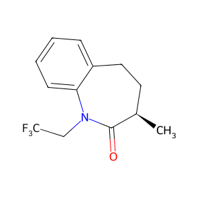 C[C@@H]1CCc2ccccc2N(CC(F)(F)F)C1=O